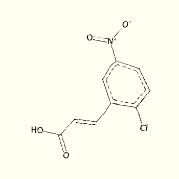 O=C(O)C=Cc1cc([N+](=O)[O-])ccc1Cl